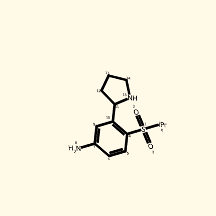 CC(C)S(=O)(=O)c1ccc(N)cc1C1CCCN1